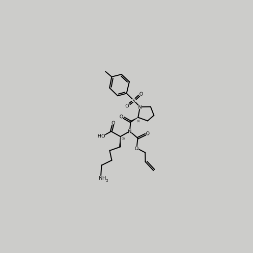 C=CCOC(=O)N(C(=O)[C@@H]1CCCN1S(=O)(=O)c1ccc(C)cc1)[C@@H](CCCCN)C(=O)O